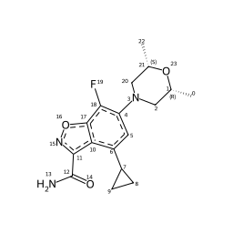 C[C@@H]1CN(c2cc(C3CC3)c3c(C(N)=O)noc3c2F)C[C@H](C)O1